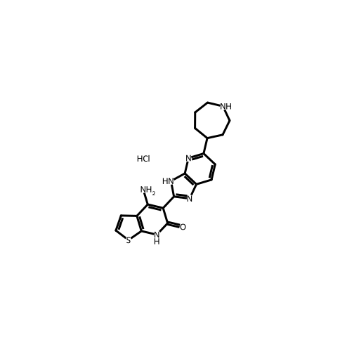 Cl.Nc1c(-c2nc3ccc(C4CCCNCC4)nc3[nH]2)c(=O)[nH]c2sccc12